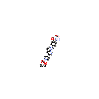 CC(C)(C)OC(=O)N1CCC(c2cnc3c(ccn3Cc3ccc(C(=O)NO)cc3)c2)CC1